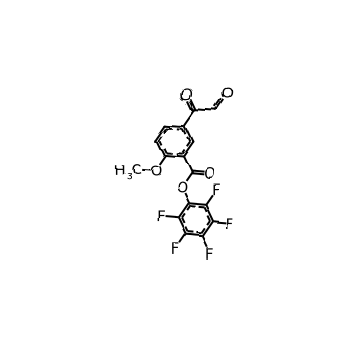 COc1ccc(C(=O)C=O)cc1C(=O)Oc1c(F)c(F)c(F)c(F)c1F